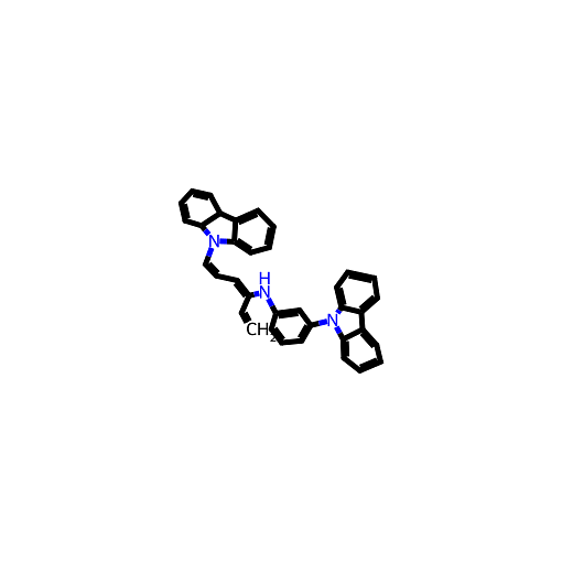 C=C/C(=C\C=C/N1c2ccccc2C2C=CC=CC21)Nc1cccc(-n2c3ccccc3c3ccccc32)c1